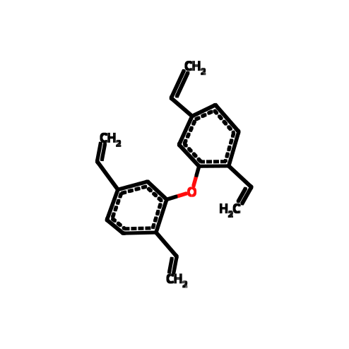 C=Cc1ccc(C=C)c(Oc2cc(C=C)ccc2C=C)c1